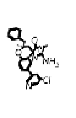 CN1C(=O)C2(C[C@](C)(Cc3ccccc3)Oc3ccc(-c4cncc(Cl)c4)cc32)N=C1N